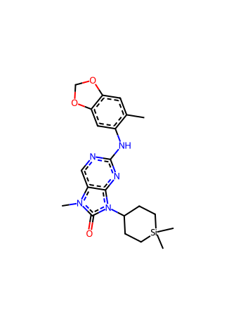 Cc1cc2c(cc1Nc1ncc3c(n1)n(C1CC[Si](C)(C)CC1)c(=O)n3C)OCO2